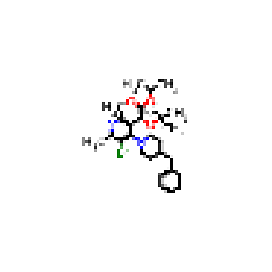 Cc1nc(C)c([C@H](OC(C)(C)C)C(=O)OC(C)C)c(N2CCC(Cc3ccccc3)CC2)c1Br